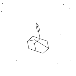 N#CC12[C]C3CC(CC(C3)C1)C2